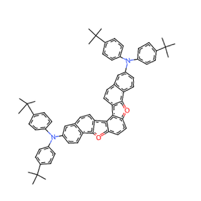 CC(C)(C)c1ccc(N(c2ccc(C(C)(C)C)cc2)c2ccc3c(ccc4c3oc3ccc5oc6c7ccc(N(c8ccc(C(C)(C)C)cc8)c8ccc(C(C)(C)C)cc8)cc7ccc6c5c34)c2)cc1